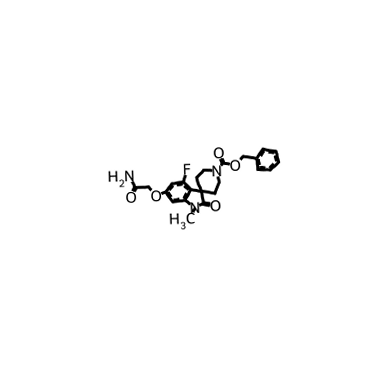 CN1C(=O)C2(CCN(C(=O)OCc3ccccc3)CC2)c2c(F)cc(OCC(N)=O)cc21